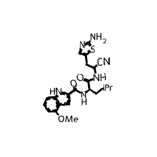 COc1cccc2[nH]c(C(=O)NC(CC(C)C)C(=O)NC(C#N)Cc3cnc(N)s3)cc12